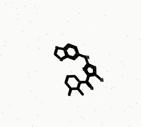 CC1CCCN(C(=O)c2nc(Nc3ccc4c(c3)OCO4)sc2Cl)C1C